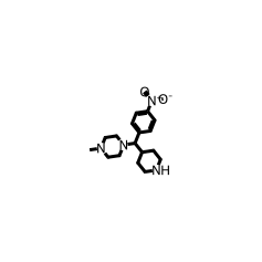 CN1CCN(C(c2ccc([N+](=O)[O-])cc2)C2CCNCC2)CC1